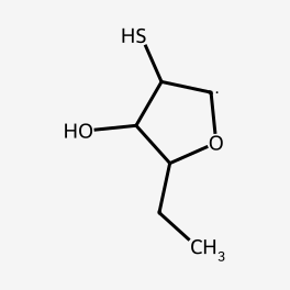 CCC1O[CH]C(S)C1O